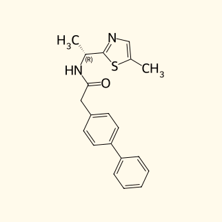 Cc1cnc([C@@H](C)NC(=O)Cc2ccc(-c3ccccc3)cc2)s1